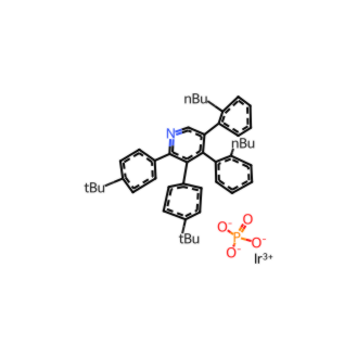 CCCCc1ccccc1-c1cnc(-c2ccc(C(C)(C)C)cc2)c(-c2ccc(C(C)(C)C)cc2)c1-c1ccccc1CCCC.O=P([O-])([O-])[O-].[Ir+3]